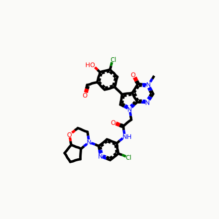 Cn1cnc2c(c(-c3cc(Cl)c(O)c(C=O)c3)cn2CC(=O)Nc2cc(N3CCOC4CCCC43)ncc2Cl)c1=O